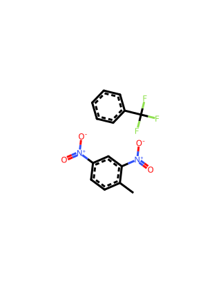 Cc1ccc([N+](=O)[O-])cc1[N+](=O)[O-].FC(F)(F)c1ccccc1